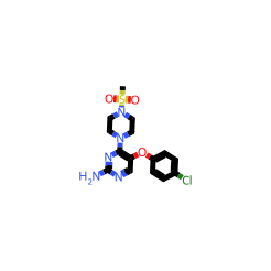 CS(=O)(=O)N1CCN(c2nc(N)ncc2Oc2ccc(Cl)cc2)CC1